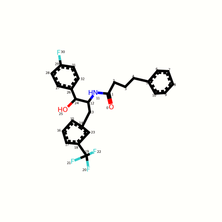 O=C(CCCc1ccccc1)NC(Cc1cccc(C(F)(F)F)c1)C(O)c1ccc(F)cc1